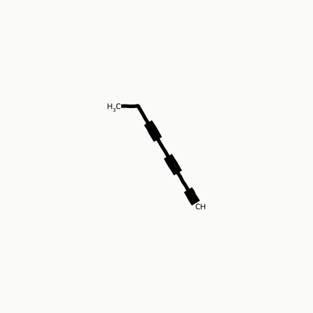 C#CC#CC#C[CH]C